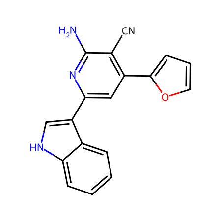 N#Cc1c(-c2ccco2)cc(-c2c[nH]c3ccccc23)nc1N